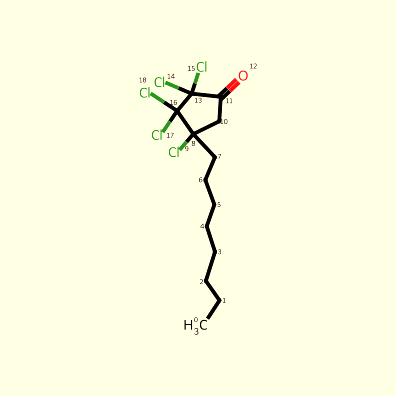 CCCCCCCCC1(Cl)CC(=O)C(Cl)(Cl)C1(Cl)Cl